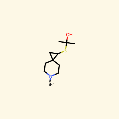 CC(C)N1CCC2(CC1)CC2SC(C)(C)O